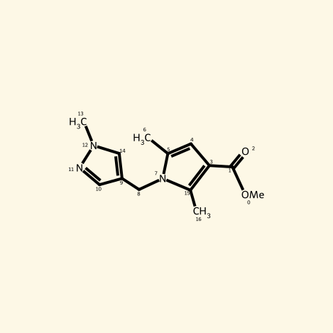 COC(=O)c1cc(C)n(Cc2cnn(C)c2)c1C